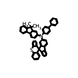 CC1(C)c2ccccc2-c2ccc(N(c3ccc(-c4ccccc4)cc3)c3ccc4c(c3)C3(c5ccccc5Sc5ccccc53)c3ccccc3-4)cc21